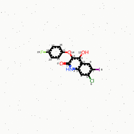 O=c1[nH]c2cc(Cl)c(I)cc2c(O)c1Oc1ccc(F)cc1